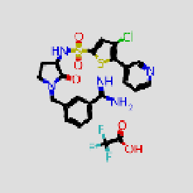 N=C(N)c1cccc(CN2CCC(NS(=O)(=O)c3cc(Cl)c(-c4cccnc4)s3)C2=O)c1.O=C(O)C(F)(F)F